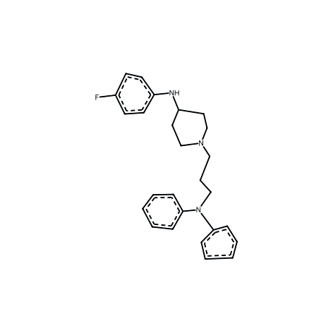 Fc1ccc(NC2CCN(CCCN(c3ccccc3)c3ccccc3)CC2)cc1